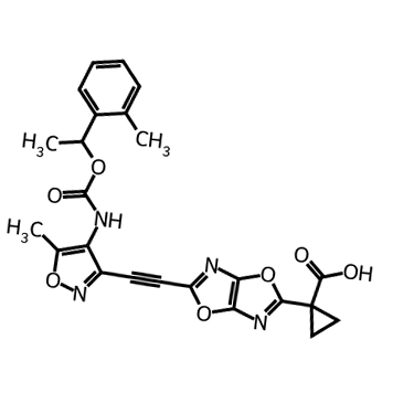 Cc1ccccc1C(C)OC(=O)Nc1c(C#Cc2nc3oc(C4(C(=O)O)CC4)nc3o2)noc1C